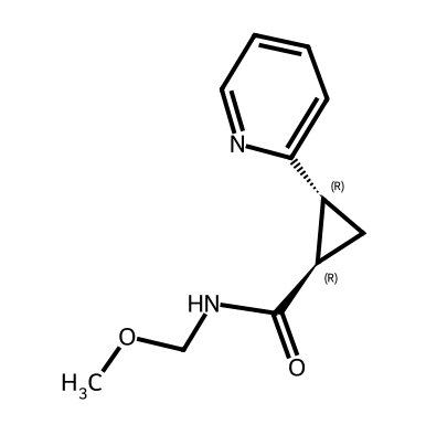 COCNC(=O)[C@@H]1C[C@H]1c1ccccn1